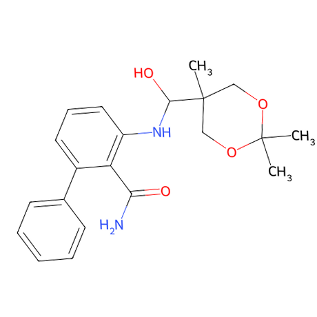 CC1(C)OCC(C)(C(O)Nc2cccc(-c3ccccc3)c2C(N)=O)CO1